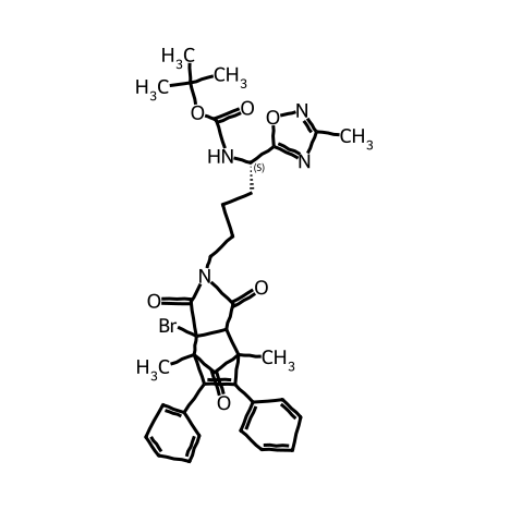 Cc1noc([C@H](CCCCN2C(=O)C3C4(C)C(=O)C(C)(C(c5ccccc5)=C4c4ccccc4)C3(Br)C2=O)NC(=O)OC(C)(C)C)n1